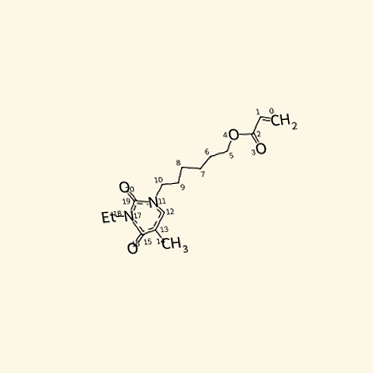 C=CC(=O)OCCCCCCn1cc(C)c(=O)n(CC)c1=O